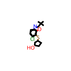 CC(C)(C)c1nc2ccc(Cl)c(SC3CCC(O)C3)c2o1